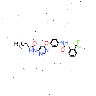 CCCC(=O)Nc1cc(Oc2ccc(NC(=O)Cc3ccccc3C(F)(F)F)cc2)ncn1